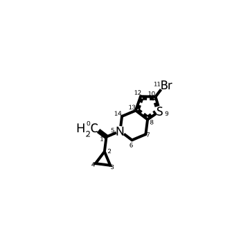 C=C(C1CC1)N1CCc2sc(Br)cc2C1